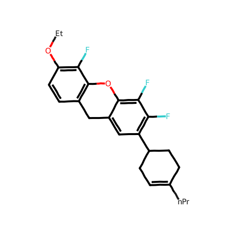 CCCC1=CCC(c2cc3c(c(F)c2F)Oc2c(ccc(OCC)c2F)C3)CC1